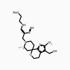 CSCCN/C=C(/CN1CCC2(C[C@@H]1C)OCCc1c2sc(C(F)(F)F)c1CO)N=N